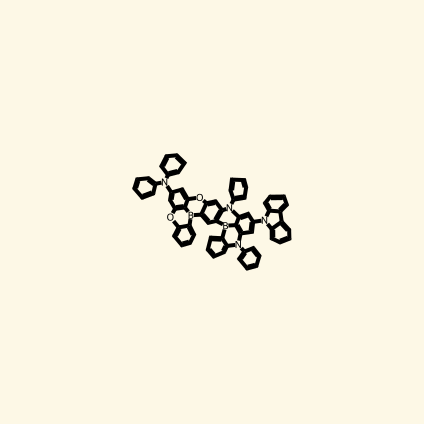 c1ccc(N(c2ccccc2)c2cc3c4c(c2)Oc2cc5c(cc2B4c2ccccc2O3)B2c3ccccc3N(c3ccccc3)c3cc(-n4c6ccccc6c6ccccc64)cc(c32)N5c2ccccc2)cc1